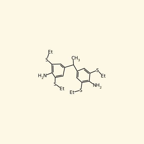 CCSc1cc(C(C)c2cc(SCC)c(N)c(SCC)c2)cc(SCC)c1N